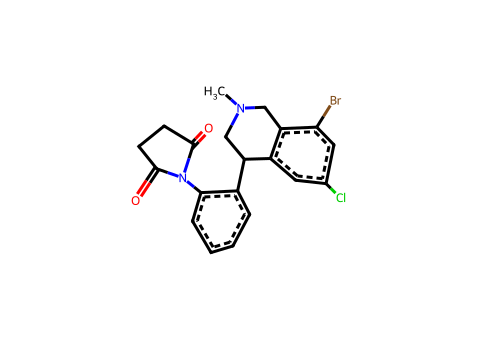 CN1Cc2c(Br)cc(Cl)cc2C(c2ccccc2N2C(=O)CCC2=O)C1